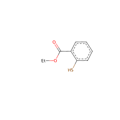 CCOC(=O)c1ccccc1S